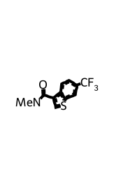 CNC(=O)c1csc2cc(C(F)(F)F)ccc12